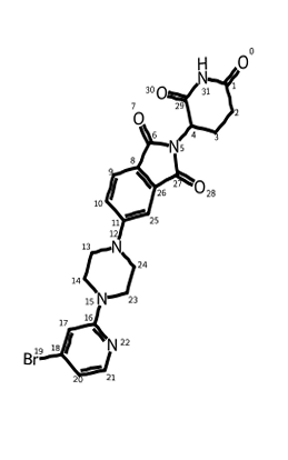 O=C1CCC(N2C(=O)c3ccc(N4CCN(c5cc(Br)ccn5)CC4)cc3C2=O)C(=O)N1